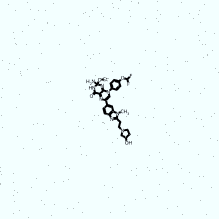 CCOC1(N)N=C2C(=NC(c3ccc4nc(CCN5CCC(O)C5)n(C)c4c3)=CN2c2ccc(OC(F)F)cc2)C(=O)N1